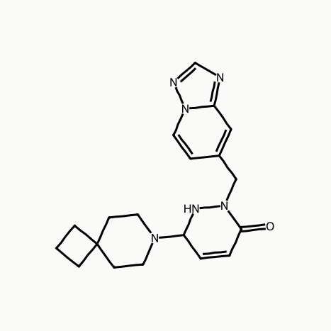 O=C1C=CC(N2CCC3(CCC3)CC2)NN1Cc1ccn2ncnc2c1